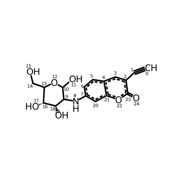 C#Cc1cc2ccc(NC3C(O)OC(CO)[C@@H](O)[C@@H]3O)cc2oc1=O